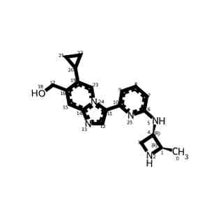 C[C@H]1NC[C@H]1Nc1cccc(-c2cnc3cc(CO)c(C4CC4)cn23)n1